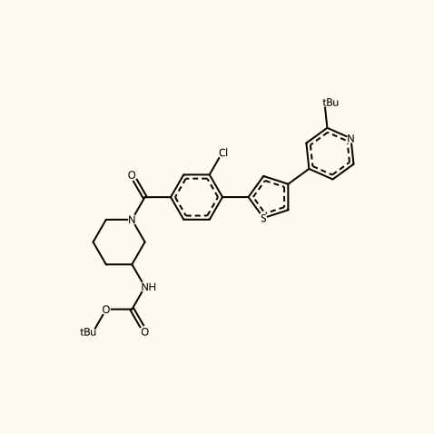 CC(C)(C)OC(=O)NC1CCCN(C(=O)c2ccc(-c3cc(-c4ccnc(C(C)(C)C)c4)cs3)c(Cl)c2)C1